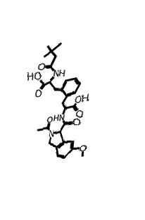 COc1ccc2c(c1)C(C(=O)NC(Cc1ccccc1CC(NC(=O)CC(C)(C)C)C(=O)O)C(=O)O)N(C(C)=O)C2